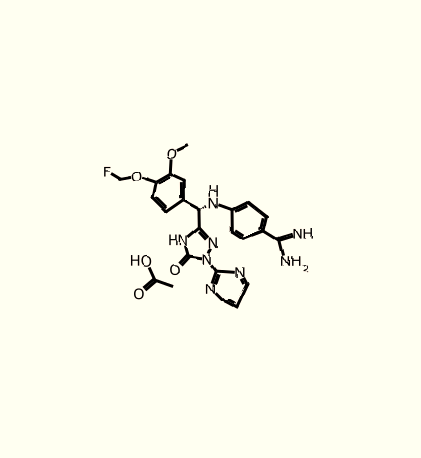 CC(=O)O.COc1cc([C@H](Nc2ccc(C(=N)N)cc2)c2nn(-c3ncccn3)c(=O)[nH]2)ccc1OCF